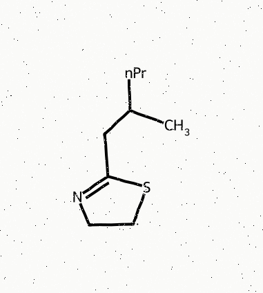 CCCC(C)CC1=NC[CH]S1